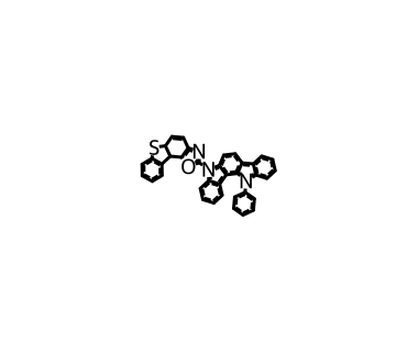 C1=CC2Sc3ccccc3C2c2oc(-n3c4ccccc4c4c3ccc3c5ccccc5n(-c5ccccc5)c34)nc21